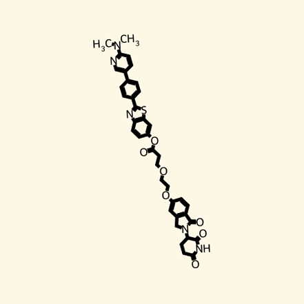 CN(C)c1ccc(-c2ccc(-c3nc4ccc(OC(=O)CCOCCOc5ccc6c(c5)CN(C5CCC(=O)NC5=O)C6=O)cc4s3)cc2)cn1